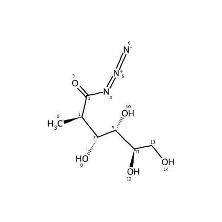 C[C@@H](C(=O)N=[N+]=[N-])[C@@H](O)[C@H](O)[C@H](O)CO